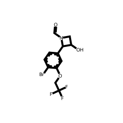 O=CN1CC(O)C1c1ccc(Br)c(OCC(F)(F)F)c1